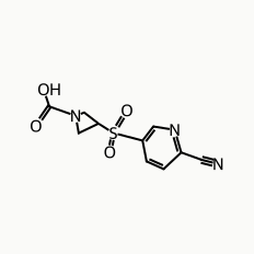 N#Cc1ccc(S(=O)(=O)C2CN(C(=O)O)C2)cn1